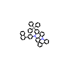 c1ccc(-c2ccccc2-n2c3ccccc3c3c(N(c4ccc(-c5cccc6ccccc56)cc4)c4cccc([Si](c5ccccc5)(c5ccccc5)c5ccccc5)c4)cccc32)cc1